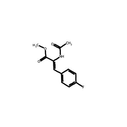 COC(=O)C(=Cc1ccc(F)cc1)NC(C)=O